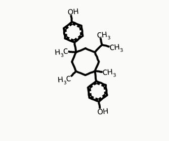 CC1CC(C)(c2ccc(O)cc2)CC(C(C)C)CC(C)(c2ccc(O)cc2)C1